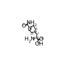 NC(=O)N1CCC(C[C@H](N)C(=O)O)CC1